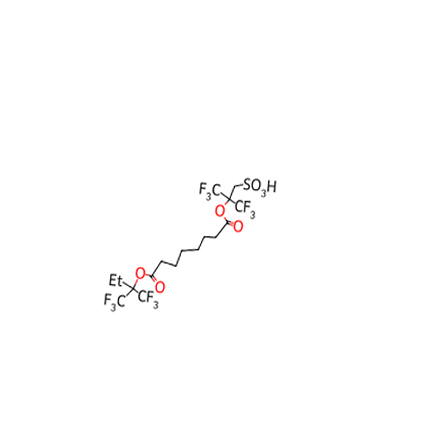 CCC(OC(=O)CCCCCCC(=O)OC(CS(=O)(=O)O)(C(F)(F)F)C(F)(F)F)(C(F)(F)F)C(F)(F)F